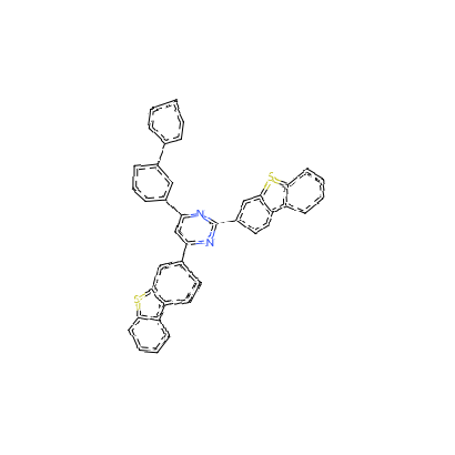 c1ccc(-c2cccc(-c3cc(-c4ccc5c(c4)sc4ccccc45)nc(-c4ccc5c(c4)sc4ccccc45)n3)c2)cc1